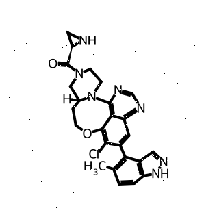 Cc1ccc2[nH]ncc2c1-c1cc2ncnc3c2c(c1Cl)OCC[C@@H]1CN(C(=O)[C@H]2CN2)CCN31